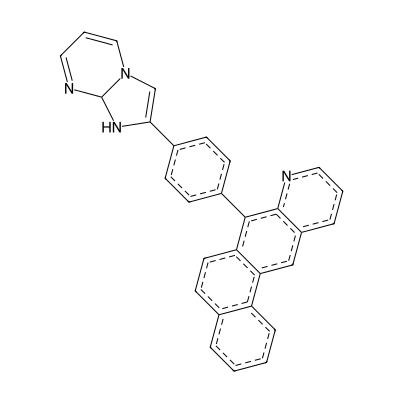 C1=CN2C=C(c3ccc(-c4c5ccc6ccccc6c5cc5cccnc45)cc3)NC2N=C1